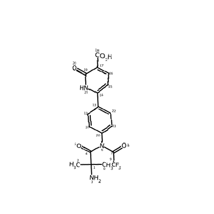 CC(C)(N)C(=O)N(C(=O)C(F)(F)F)c1ccc(-c2ccc(C(=O)O)c(=O)[nH]2)cc1